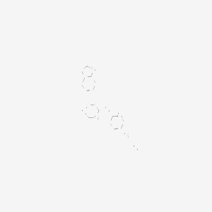 Cc1cc2c(F)c(Oc3ncnc(Nc4ccc(N5CCN(C)CC5)cn4)c3F)ccc2[nH]1